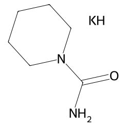 NC(=O)N1CCCCC1.[KH]